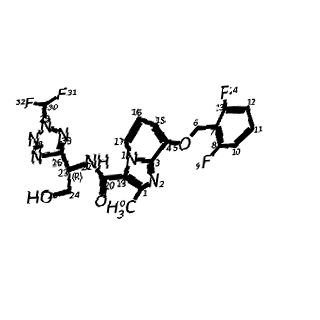 Cc1nc2c(OCc3c(F)cccc3F)cccn2c1C(=O)N[C@@H](CO)c1nnn(C(F)F)n1